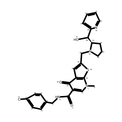 Cn1cc(C(=O)NCc2ccc(Cl)cc2)c(=O)c2cc(CN3CCC[C@@H]3C(O)c3ccccn3)sc21